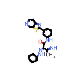 CC(=N)/C(=N\Nc1ccccc1)C(=O)Nc1cccc(-c2nc3ccncc3s2)c1